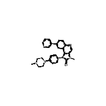 CN1CCN(c2ccc(-n3c(=O)n(C)c4cnc5ccc(-c6cccnc6)cc5c43)cc2)CC1